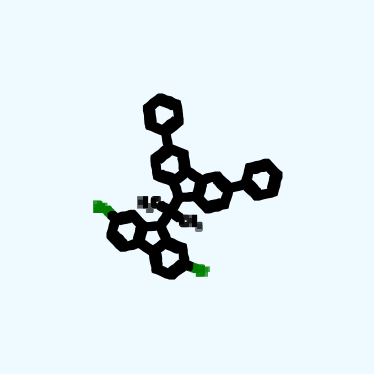 CC(C)(C1c2ccc(-c3ccccc3)cc2-c2cc(-c3ccccc3)ccc21)C1c2cc(Br)ccc2-c2ccc(Br)cc21